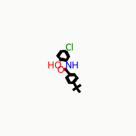 CC(C)(C)c1ccc(C(=O)Nc2cc(Cl)ccc2O)cc1